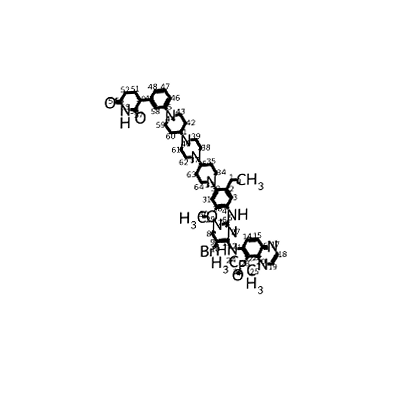 CCc1cc(Nc2ncc(Br)c(Nc3ccc4nccnc4c3P(C)(C)=O)n2)c(OC)cc1N1CCC(N2CCN(C3CCN(c4cccc(C5CCC(=O)NC5=O)c4)CC3)CC2)CC1